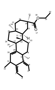 C/C=C1\C(=C/C)[C@]2(C)CC[C@@]3(C)[C@@H]4C[C@](C)(C(=O)OCC)CC[C@]4(C)CC[C@]3(C)C2=CC1C